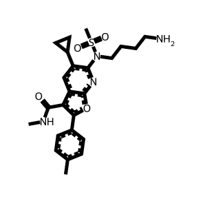 CNC(=O)c1c(-c2ccc(C)cc2)oc2nc(N(CCCCN)S(C)(=O)=O)c(C3CC3)cc12